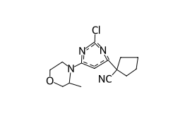 CC1COCCN1c1cc(C2(C#N)CCCC2)nc(Cl)n1